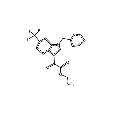 CCOC(=O)C(=O)c1cn(Cc2ccccc2)c2cc(C(F)(F)F)ccc12